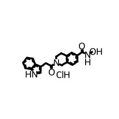 Cl.O=C(NO)c1ccc2c(c1)CCN(C(=O)Cc1c[nH]c3ccccc13)C2